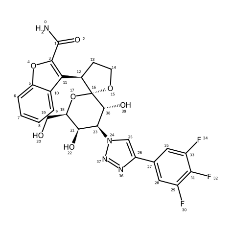 NC(=O)c1oc2ccccc2c1[C@H]1CCO[C@]12O[C@H](CO)[C@H](O)[C@H](n1cc(-c3cc(F)c(F)c(F)c3)nn1)[C@H]2O